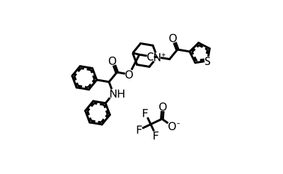 O=C(C[N+]12CCC(CC1)C(OC(=O)C(Nc1ccccc1)c1ccccc1)C2)c1ccsc1.O=C([O-])C(F)(F)F